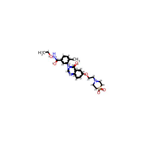 CCONC(=O)c1ccc(C)c(-n2cnc3ccc(OCCN4CCS(=O)(=O)CC4)cc3c2=O)c1